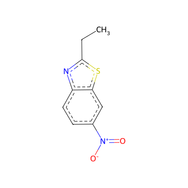 CCc1nc2ccc([N+](=O)[O-])cc2s1